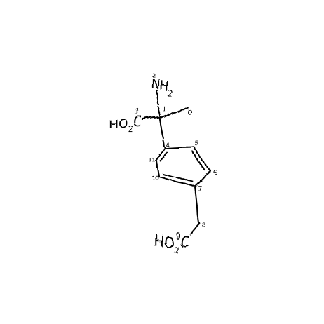 CC(N)(C(=O)O)c1ccc(CC(=O)O)cc1